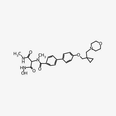 CNC(=O)C(C(=O)NO)N(C)C(=O)c1ccc(-c2ccc(OCC3(CN4CCOCC4)CC3)cc2)cc1